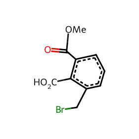 COC(=O)c1cccc(CBr)c1C(=O)O